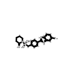 O=C1CCCCN1P(=O)(O)Cc1ccc(-c2nc3cc(F)ccc3s2)cc1